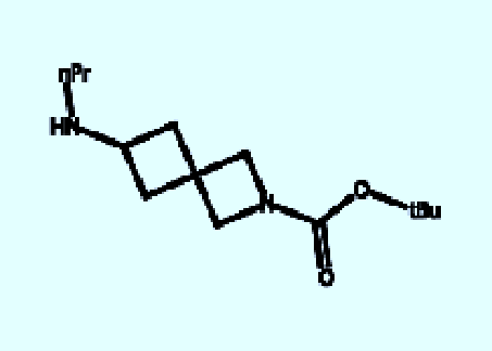 CCCNC1CC2(C1)CN(C(=O)OC(C)(C)C)C2